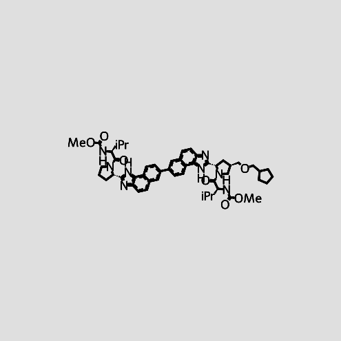 COC(=O)N[C@H](C(=O)N1CCC[C@H]1c1nc2ccc3cc(-c4ccc5c(ccc6nc([C@@H]7C[C@@H](COCC8CCCC8)CN7C(=O)[C@@H](NC(=O)OC)C(C)C)[nH]c65)c4)ccc3c2[nH]1)C(C)C